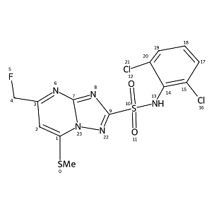 CSc1cc(CF)nc2nc(S(=O)(=O)Nc3c(Cl)cccc3Cl)nn12